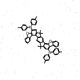 Cc1ccc(N(c2ccc(C)cc2)c2cc3c(c4c2oc2ccccc24)-c2cc4c(cc2C3(C)C)-c2c(cc(N(c3ccc(C)cc3)c3ccc(C)cc3)c3c2oc2ccccc23)C4(C)C)cc1